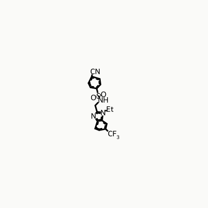 CCn1c(CNS(=O)(=O)c2ccc(C#N)cc2)nc2ccc(C(F)(F)F)cc21